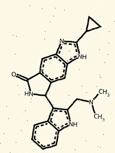 CN(C)Cc1[nH]c2ccccc2c1C1NC(=O)c2cc3nc(C4CC4)[nH]c3cc21